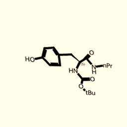 CCCNC(=O)[C@H](Cc1ccc(O)cc1)NC(=O)OC(C)(C)C